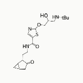 CC(C)(C)NCC(O)COc1ncc(C(=O)NCCC2C(=O)CC3CC32)s1